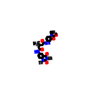 CCn1c(=O)c2cc(NC(=O)CC(C)CC(=O)Nc3ccc4c(c3)oc(=O)n4C)ccc2n(CC)c1=O